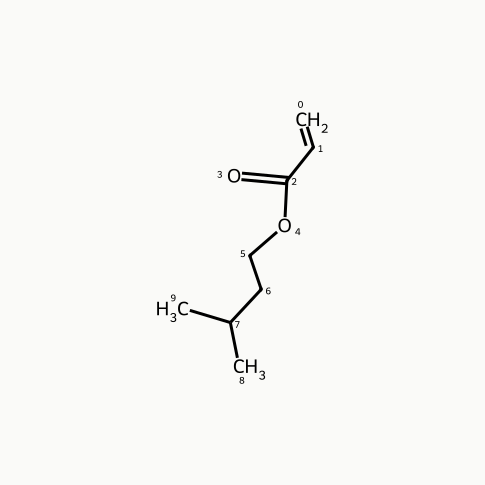 C=CC(=O)OCCC(C)C